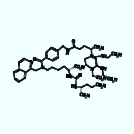 O=C(O)CC[C@@H](NC(=O)N[C@H](CCCCN(Cc1nccc2ccccc12)C(=O)c1ccc(CNC(=O)CCC(C(=O)O)N(CCNCC(=O)O)CCN(CCNCC(=O)O)CC(=O)O)cc1)C(=O)O)C(=O)O